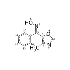 Cc1ncoc1/C(=N/O)c1ccccc1